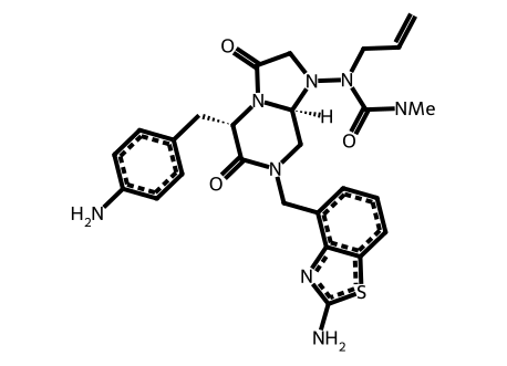 C=CCN(C(=O)NC)N1CC(=O)N2[C@@H](Cc3ccc(N)cc3)C(=O)N(Cc3cccc4sc(N)nc34)C[C@@H]21